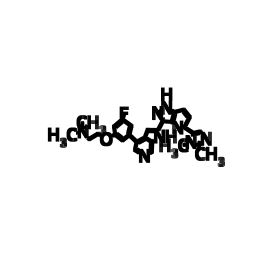 Cc1ncc(-c2ccc3[nH]nc(-c4cc5c(-c6cc(F)cc(OCCN(C)C)c6)cncc5[nH]4)c3n2)n1C